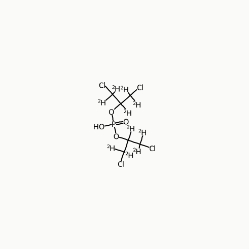 [2H]C([2H])(Cl)C([2H])(OP(=O)(O)OC([2H])(C([2H])([2H])Cl)C([2H])([2H])Cl)C([2H])([2H])Cl